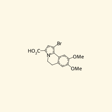 COc1cc2c(cc1OC)-c1c(Br)cc(C(=O)O)n1CC2